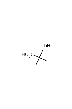 CC(C)(C)C(=O)O.[LiH]